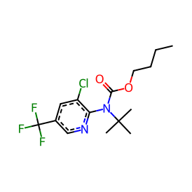 CCCCOC(=O)N(c1ncc(C(F)(F)F)cc1Cl)C(C)(C)C